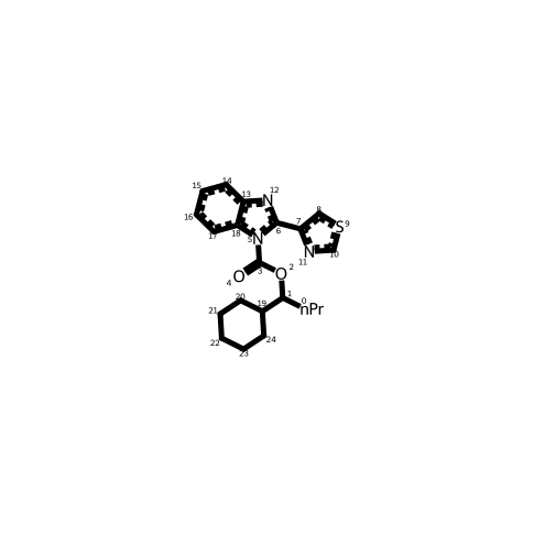 CCCC(OC(=O)n1c(-c2cscn2)nc2ccccc21)C1CCCCC1